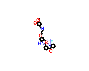 COc1ccc(CN(C)CCCOc2ccc(NC(=O)c3cccc4c(=O)c5cccc(F)c5[nH]c34)c(C)c2)cc1OC